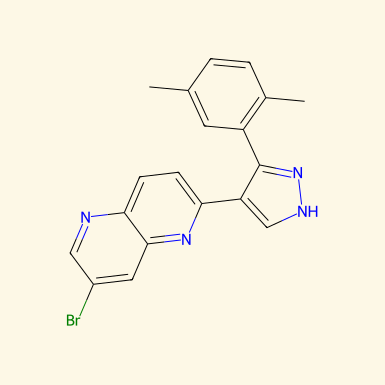 Cc1ccc(C)c(-c2n[nH]cc2-c2ccc3ncc(Br)cc3n2)c1